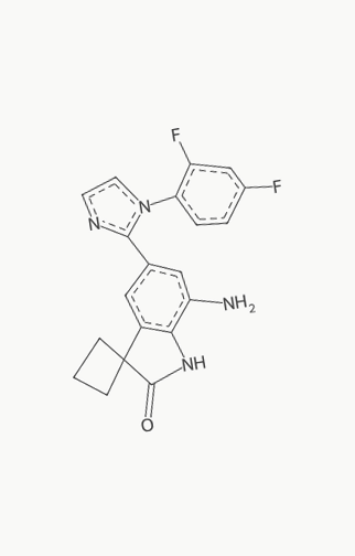 Nc1cc(-c2nccn2-c2ccc(F)cc2F)cc2c1NC(=O)C21CCC1